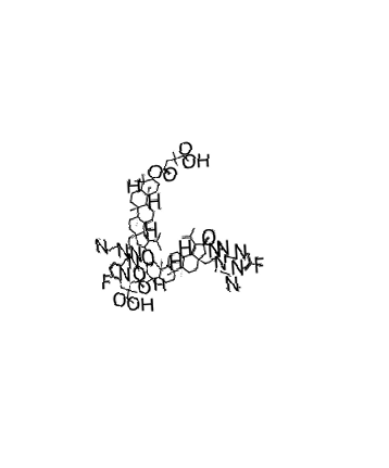 CC(C)C1=C2[C@H]3CC[C@@H]4[C@@]5(C)CC[C@H](OC(=O)CC(C)(C)C(=O)O)C(C)(C)[C@@H]5CC[C@@]4(C)[C@]3(C)CC[C@@]2(Cc2nnc(-c3ccc(F)c(CC(C)(CC(=O)O[C@H]4CC[C@]5(C)[C@H]6CC[C@@H]7C8=C(C(C)C)C(=O)C[C@]8(Cc8nnc(-c9ncc(F)cn9)n8CCN(C)C)CC[C@@]7(C)[C@]6(C)CC[C@H]5C4(C)C)C(=O)O)n3)n2CCN(C)C)CC1=O